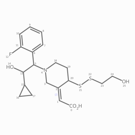 O=C(O)/C=C1/CN(C(c2ccccc2F)C(O)C2CC2)CCC1SSCCO